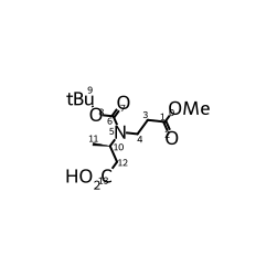 COC(=O)CCN(C(=O)OC(C)(C)C)[C@H](C)CC(=O)O